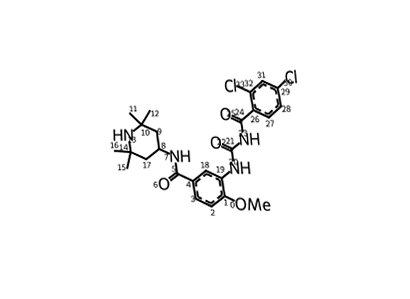 COc1ccc(C(=O)NC2CC(C)(C)NC(C)(C)C2)cc1NC(=O)NC(=O)c1ccc(Cl)cc1Cl